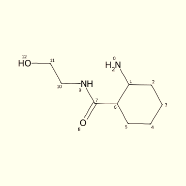 NC1CCCCC1C(=O)NCCO